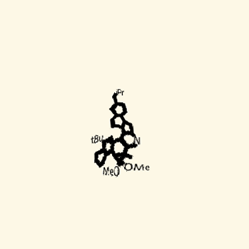 COC1(OC)C2c3c(cc(C(C)(C)C)c4ccccc34)C3=C(C=NC4CC5C6C=CC(CC(C)C)=CC6C=CC5C34)C21C